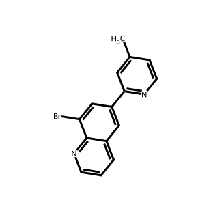 Cc1ccnc(-c2cc(Br)c3ncccc3c2)c1